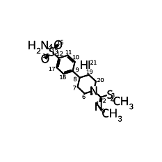 CN=C(SC)N1CCC(c2ccc(S(N)(=O)=O)cc2)CC1.I